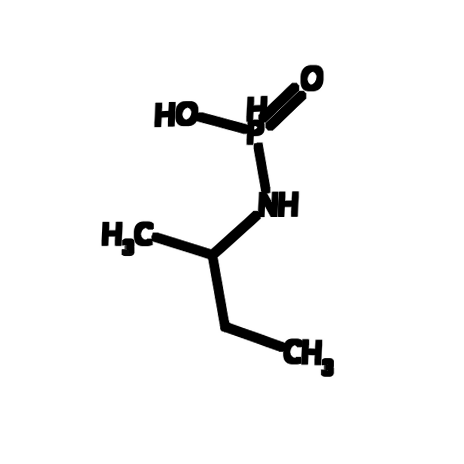 CCC(C)N[PH](=O)O